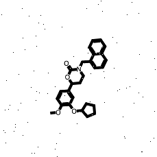 COc1ccc(C2CCN(Cc3cccc4ccccc34)C(=O)O2)cc1OC1CCCC1